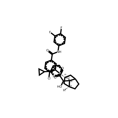 O=C(Nc1ccc(F)c(F)c1)c1ccc(Cl)c(S(=O)(=O)[C@@H]2CC3CC[C@@H](C2)[C@@]3(O)C(O)c2cccc(C3CC3)n2)c1